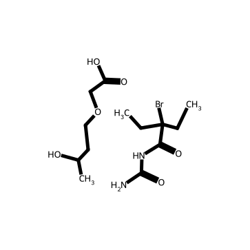 CC(O)CCOCC(=O)O.CCC(Br)(CC)C(=O)NC(N)=O